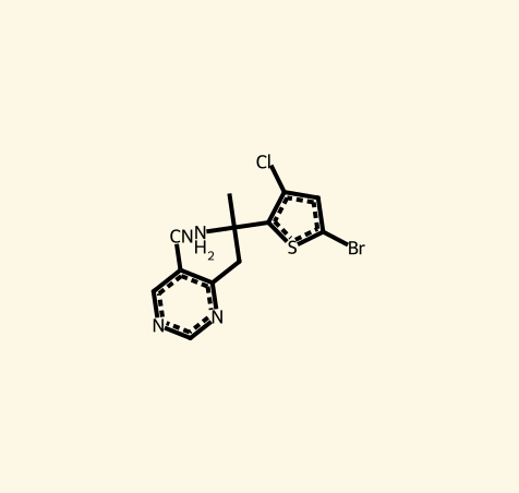 CC(N)(Cc1ncncc1C#N)c1sc(Br)cc1Cl